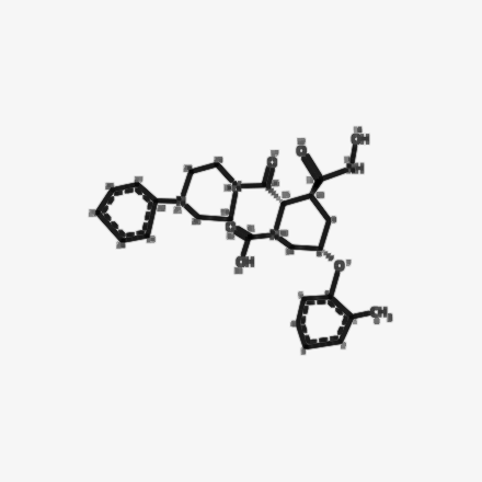 Cc1ccccc1O[C@H]1C[C@H](C(=O)NO)[C@@H](C(=O)N2CCN(c3ccccc3)CC2)N(C(=O)O)C1